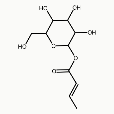 CC=CC(=O)OC1OC(CO)C(O)C(O)C1O